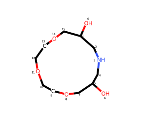 OC1CNCC(O)COCCOCCOC1